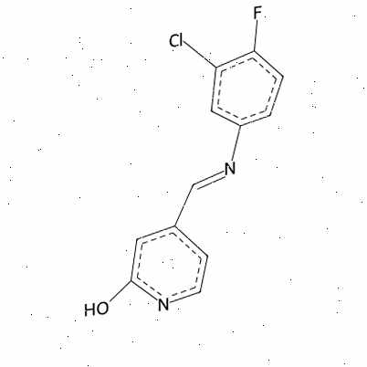 Oc1cc(C=Nc2ccc(F)c(Cl)c2)ccn1